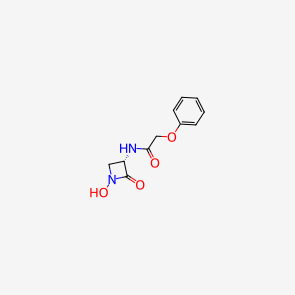 O=C(COc1ccccc1)N[C@H]1CN(O)C1=O